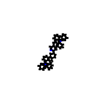 CC1c2c(-c3cccc(-c4cc(-c5cccc6c5C(C)c5cccc7c8ccccc8n-6c57)ccn4)c3)cccc2-n2c3ccccc3c3cccc1c32